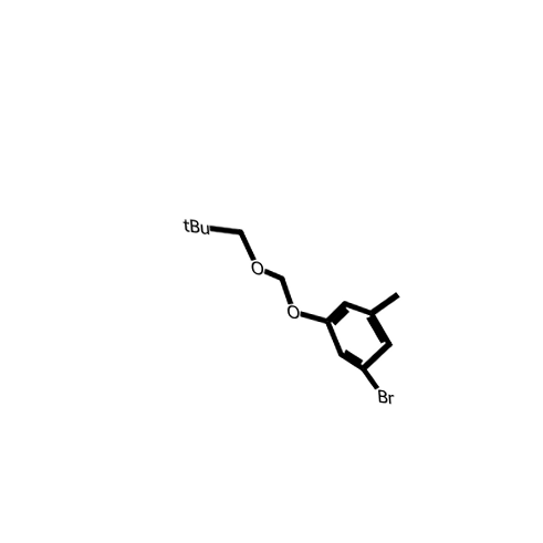 Cc1cc(Br)cc(OCOCC(C)(C)C)c1